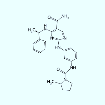 CC1CCCN1C(=O)Nc1cccc(Nc2ncc(C(N)=O)c(N[C@H](C)c3ccccc3)n2)c1